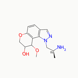 COC1c2c(ccc3cnn(C[C@H](C)N)c23)OCC1O